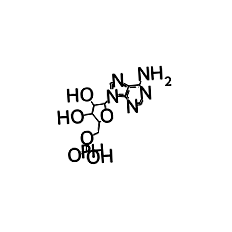 Nc1ncnc2c1ncn2C1OC(CO[PH](=O)O)C(O)C1O